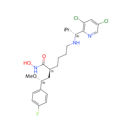 CO[C@H](C[C@H](CCCCN[C@@H](c1ncc(Cl)cc1Cl)C(C)C)C(=O)NO)c1ccc(F)cc1